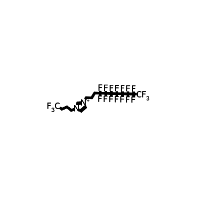 FC(F)(F)CCCn1cc[n+](CCCC(F)(F)C(F)(F)C(F)(F)C(F)(F)C(F)(F)C(F)(F)C(F)(F)C(F)(F)F)c1